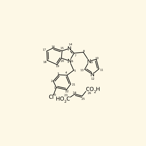 Clc1ccc(Cn2c(Cn3ccnc3)nc3ccccc32)cc1.O=C(O)C=CC(=O)O